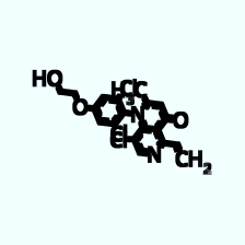 C=Cc1ncc(Cl)c2c1c(=O)cc(C)n2-c1c(Cl)cc(OCCO)cc1Cl